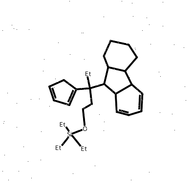 CCC(CCO[Si](CC)(CC)CC)(C1=CC=CC1)C1C2C=CC=CC2C2CCCCC21